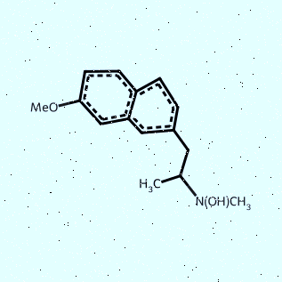 COc1ccc2ccc(CC(C)N(C)O)cc2c1